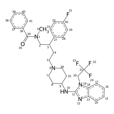 CN(CC(CCN1CCC(Nc2nc3ccccc3n2CC(F)(F)F)CC1)c1ccc(F)cc1)C(=O)c1ccccc1